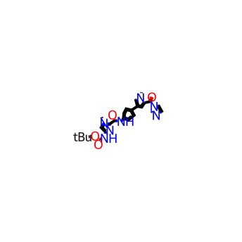 Cn1cc(-c2ccc(NC(=O)c3nc(NC(=O)OC(C)(C)C)cn3C)cc2)cc1C(=O)n1ccnc1